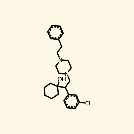 OC1(C(CN2CCN(CCc3ccccc3)CC2)c2cccc(Cl)c2)CCCCC1